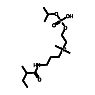 CCC(C)C(=O)NCCC[N+](C)(C)CCOP(=O)(O)OC(C)C